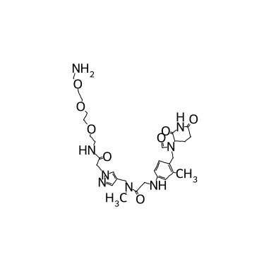 Cc1cc(NCC(=O)N(C)Cc2cnn(CC(=O)NCCOCCOCCOCN)c2)ccc1CN(C=O)C1CCC(=O)NC1=O